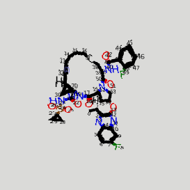 CCc1nc2ccc(F)cc2nc1O[C@@H]1C[C@H]2C(=O)N[C@]3(C(=O)NS(=O)(=O)C4CC4)C[C@H]3/C=C\CCCCC[C@H](NC(=O)c3ccccc3F)C(=O)N2C1